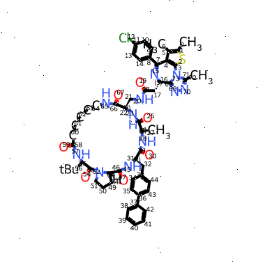 Cc1sc2c(c1C)C(c1ccc(Cl)cc1)=N[C@@H](CC(=O)NC[C@H]1NC(=O)[C@@H](C)NC(=O)[C@@H](Cc3ccc(-c4ccccc4)cc3)NC(=O)[C@@H]3CCCN3C(=O)C(C(C)(C)C)NC(=O)CCCCCNC1=O)c1nnc(C)n1-2